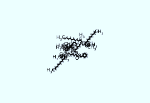 CCCCCCCCCC[C@@H](C)CN(CCCCC(C)C(=O)OC(CCCCN(C[C@@H](CCCCCCCCCC)O[Si](C)(C)C)C[C@@H](CCCCCCCCCC)O[Si](C)(C)C(C)(C)C)C(=O)OCc1ccccc1)C[C@@H](CCCCCCCCCC)O[Si](C)(C)C